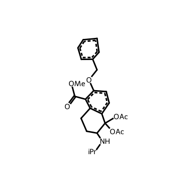 COC(=O)c1c(OCc2ccccc2)ccc2c1CCC(NC(C)C)C2(OC(C)=O)OC(C)=O